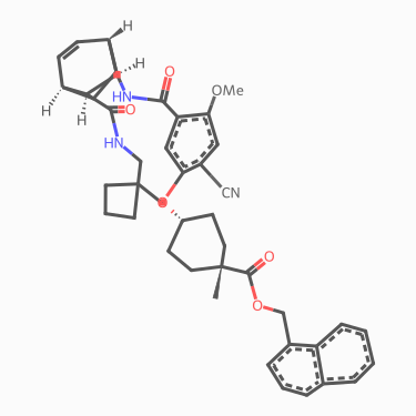 COc1cc(C#N)c(O[C@H]2CC[C@@](C)(C(=O)OCc3cccc4ccccc34)CC2)cc1C(=O)N[C@H]1[C@@H](C(=O)NCC2(C)CCC2)[C@H]2C=C[C@@H]1CC2